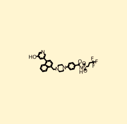 O=C(NS(=O)(=O)CCC(F)(F)F)c1ccc(N2CCN(Cc3ccc(-c4cncc(O)c4)c4ccccc34)CC2)cc1